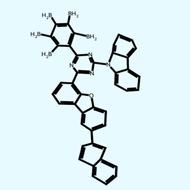 Bc1c(B)c(B)c(-c2nc(-c3cccc4c3oc3ccc(-c5ccc6ccccc6c5)cc34)nc(-n3c4ccccc4c4ccccc43)n2)c(B)c1B